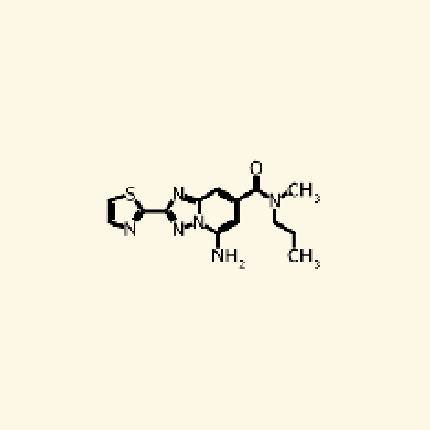 CCCN(C)C(=O)c1cc(N)n2nc(-c3nccs3)nc2c1